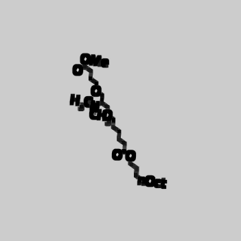 CCCCCCCCC=CCOC(=O)CCCCCOCC(COCCCC(=O)OC)N(C)C